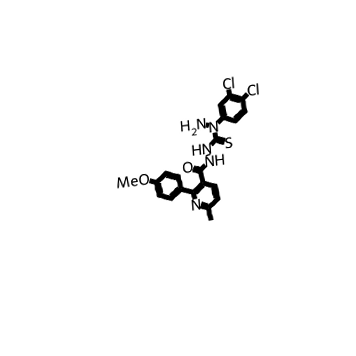 COc1ccc(-c2nc(C)ccc2C(=O)NNC(=S)N(N)c2ccc(Cl)c(Cl)c2)cc1